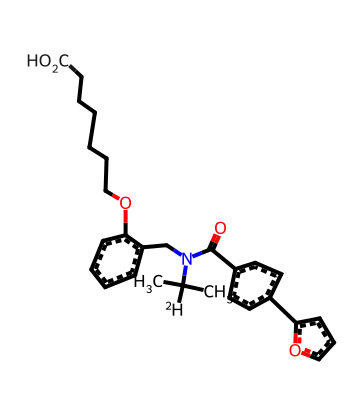 [2H]C(C)(C)N(Cc1ccccc1OCCCCCCC(=O)O)C(=O)c1ccc(-c2ccco2)cc1